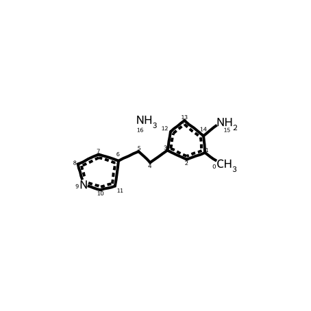 Cc1cc(CCc2ccncc2)ccc1N.N